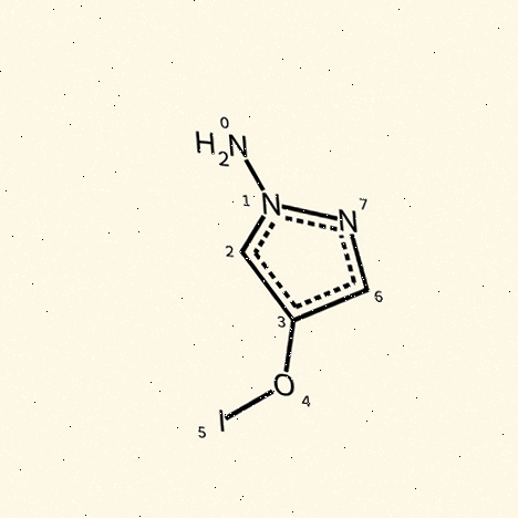 Nn1cc(OI)cn1